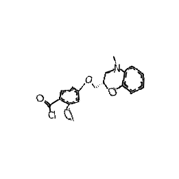 CN1C[C@@H](COc2ccc(C(=O)Cl)c(Cl)c2)Oc2ccccc21